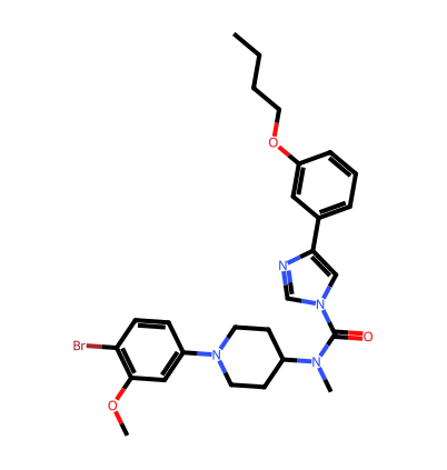 CCCCOc1cccc(-c2cn(C(=O)N(C)C3CCN(c4ccc(Br)c(OC)c4)CC3)cn2)c1